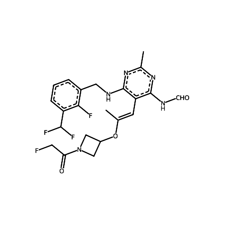 C/C(=C\c1c(NC=O)nc(C)nc1NCc1cccc(C(F)F)c1F)OC1CN(C(=O)CF)C1